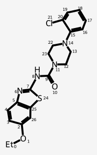 CCOc1ccc2nc(NC(=O)N3CCN(c4ccccc4Cl)CC3)sc2c1